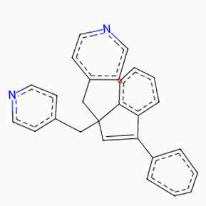 C1=C(c2ccccc2)c2ccccc2C1(Cc1ccncc1)Cc1ccncc1